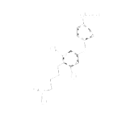 CCCCCc1ccc(Sc2cc(Cl)c(CCCC[S+]([O-])CC)c(Cl)c2)cc1